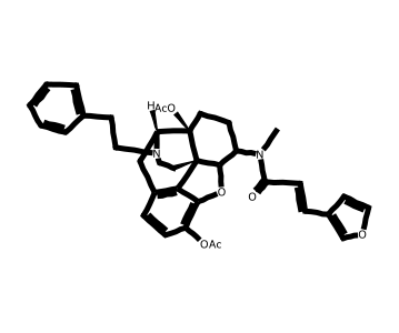 CC(=O)Oc1ccc2c3c1OC1C(N(C)C(=O)/C=C/c4ccoc4)CC[C@@]4(OC(C)=O)[C@@H](C2)N(CCc2ccccc2)CC[C@]314